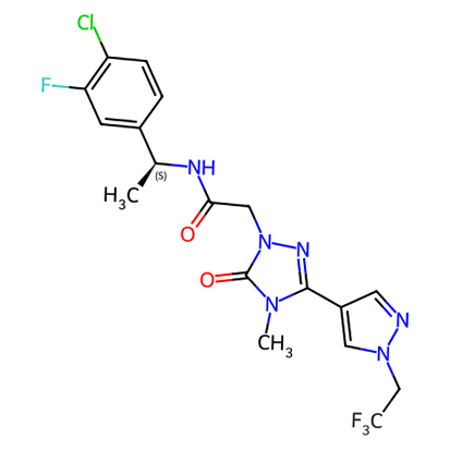 C[C@H](NC(=O)Cn1nc(-c2cnn(CC(F)(F)F)c2)n(C)c1=O)c1ccc(Cl)c(F)c1